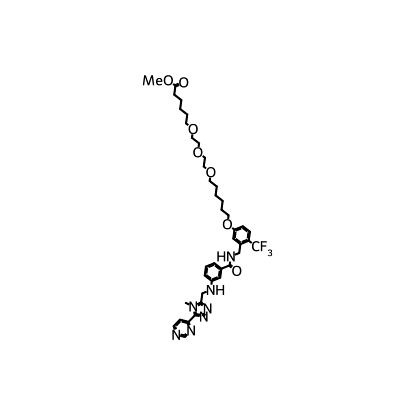 COC(=O)CCCCCOCCOCCOCCCCCCOc1ccc(C(F)(F)F)c(CNC(=O)c2cccc(NCc3nnc(-c4ccncn4)n3C)c2)c1